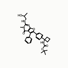 CC(O)CNc1nc2oc(-c3ccc(C4(NC(=O)OC(C)(C)C)CCC4)cc3)c(-c3ccccc3)c2c(=O)n1C